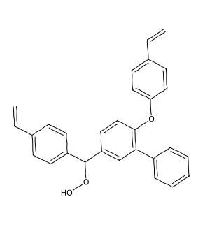 C=Cc1ccc(Oc2ccc(C(OO)c3ccc(C=C)cc3)cc2-c2ccccc2)cc1